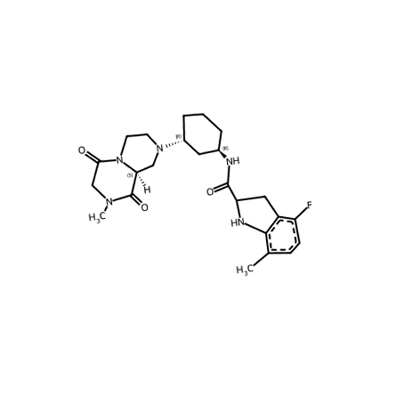 Cc1ccc(F)c2c1NC(C(=O)N[C@@H]1CCC[C@@H](N3CCN4C(=O)CN(C)C(=O)[C@@H]4C3)C1)C2